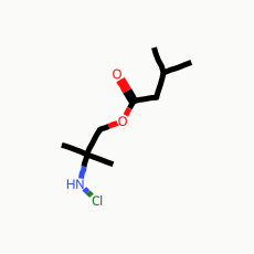 CC(C)CC(=O)OCC(C)(C)NCl